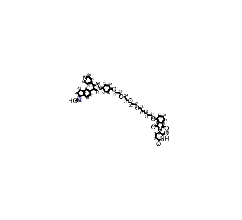 O=C1CCC(N2C(=O)c3cccc(OCCOCCOCCOCCOCCOc4ccc(-n5cc(-c6ccc7c(c6)CC/C7=N\O)c(-c6ccncc6)n5)cc4)c3C2=O)C(=O)N1